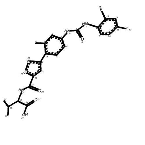 Cc1cc(NC(=O)Nc2ccc(F)cc2F)ccc1-c1cc(C(=O)NC(C(=O)O)C(C)C)on1